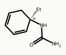 CC[C@]1(NC(N)=O)C=CC=CC1